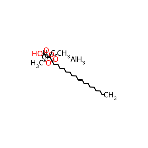 CCCCCCCCC=CCCCCCCCCC(OC(C)C)(OC(C)C)C(=O)CC(=O)O.[AlH3]